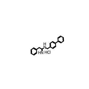 Cl.N=C(Cc1ccccc1)NCc1ccc(-c2ccccc2)cc1